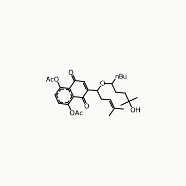 CCCCC(CCC(C)(C)O)OC(CC=C(C)C)C1=CC(=O)c2c(OC(C)=O)ccc(OC(C)=O)c2C1=O